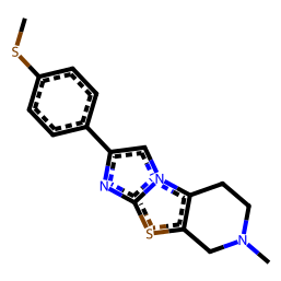 CSc1ccc(-c2cn3c4c(sc3n2)CN(C)CC4)cc1